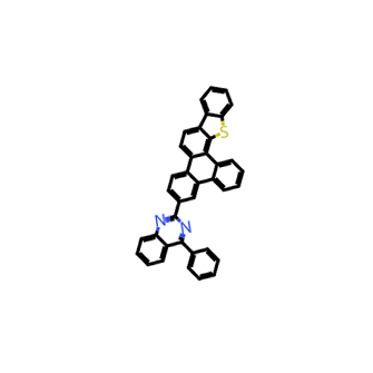 c1ccc(-c2nc(-c3ccc4c(c3)c3ccccc3c3c4ccc4c5ccccc5sc43)nc3ccccc23)cc1